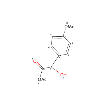 COc1ccc(C(O)C(=O)OC(C)=O)cc1